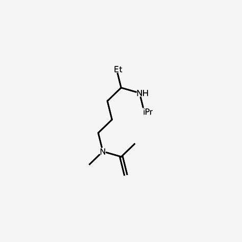 C=C(C)N(C)CCCC(CC)NC(C)C